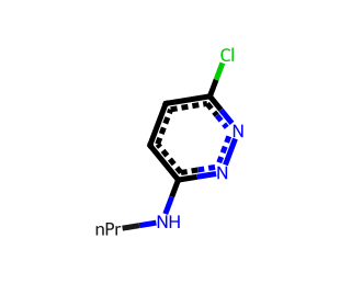 CCCNc1ccc(Cl)nn1